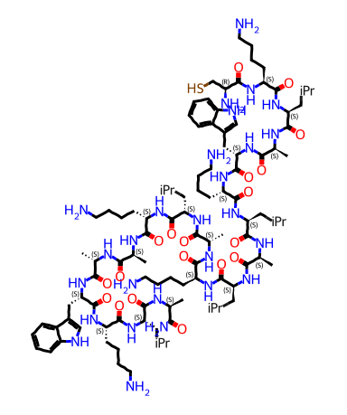 CC(C)C[C@H](NC(=O)[C@H](C)NC(=O)[C@H](CCCCN)NC(=O)[C@H](CC(C)C)NC(=O)[C@H](C)NC(=O)[C@H](CC(C)C)NC(=O)[C@H](CCCCN)NC(=O)[C@H](Cc1c[nH]c2ccccc12)NC(=O)[C@H](C)NC(=O)[C@H](CC(C)C)NC(=O)[C@H](CCCCN)NC(=O)[C@@H](N)CS)C(=O)N[C@@H](CCCCN)C(=O)N[C@@H](C)C(=O)N[C@@H](C)C(=O)N[C@@H](Cc1c[nH]c2ccccc12)C(=O)N[C@@H](CCCCN)C(=O)N[C@@H](CC(C)C)C(=O)N[C@@H](C)C(N)=O